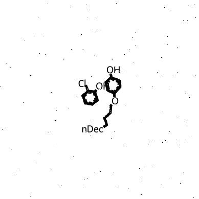 CCCCCCCCCCCCCCOc1ccc(O)cc1.Oc1ccccc1Cl